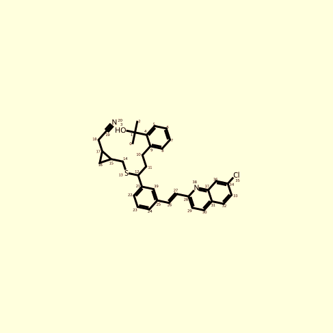 CC(C)(O)c1ccccc1CCC(SCC1CC1CC#N)c1cccc(/C=C/c2ccc3ccc(Cl)cc3n2)c1